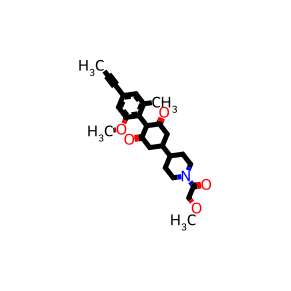 CC#Cc1cc(C)c(C2C(=O)CC(C3CCN(C(=O)COC)CC3)CC2=O)c(OC)c1